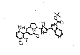 CC(C)(C)OC(=O)n1cc(-c2cnc([C@@H]3CCC4CC(c5c(N)ccc(Cl)c5F)=CC(=O)N43)[nH]2)c2cnccc21